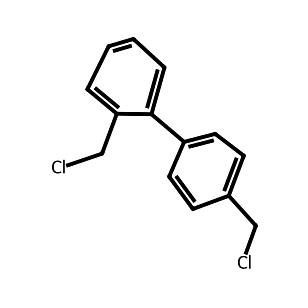 ClCc1ccc(-c2ccccc2CCl)cc1